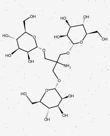 NC(CO[C@H]1O[C@H](CO)[C@@H](O)[C@H](O)[C@@H]1O)(CO[C@H]1O[C@H](CO)[C@@H](O)[C@H](O)[C@@H]1O)CO[C@H]1O[C@H](CO)[C@@H](O)[C@H](O)[C@@H]1O